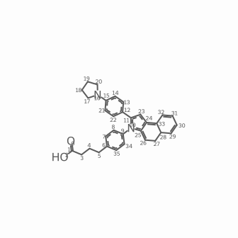 O=C(O)CCCc1ccc(-n2c(-c3ccc(N4CCCC4)cc3)cc3c2=CCC2C=CC=CC=32)cc1